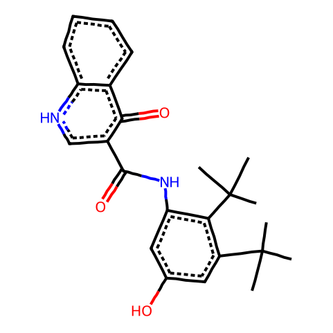 CC(C)(C)c1cc(O)cc(NC(=O)c2c[nH]c3ccccc3c2=O)c1C(C)(C)C